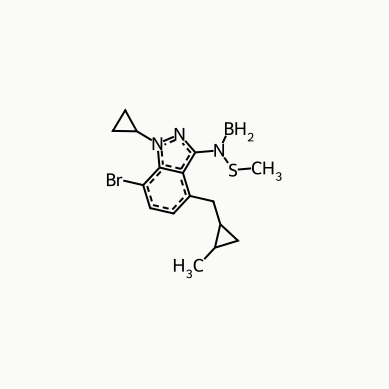 BN(SC)c1nn(C2CC2)c2c(Br)ccc(CC3CC3C)c12